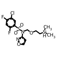 C[SiH](C)CCOCN(c1ccon1)S(=O)(=O)c1cc(Cl)c(F)cc1F